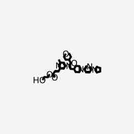 Cc1cc(N(CC2CCN(c3ccc(N4CCCC4)nc3)CC2)C(=O)C2CCOCC2)cc(/C=C/C(=O)OCCO)n1